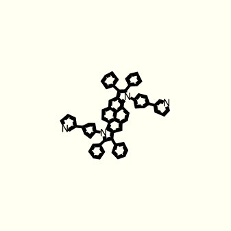 c1ccc(-c2c(-c3ccccc3)n(-c3ccc(-c4cccnc4)cc3)c3c2cc2ccc4c5c(ccc3c25)cc2c(-c3ccccc3)c(-c3ccccc3)n(-c3ccc(-c5cccnc5)cc3)c24)cc1